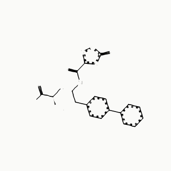 C[C@H](C[C@@H](Cc1ccc(-c2ccccc2)cc1)NC(=O)c1noc(=O)[nH]1)C(=O)O